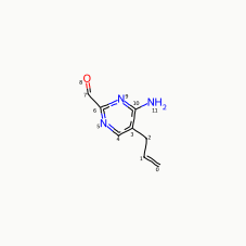 C=CCc1cnc(C=O)nc1N